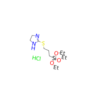 CCO[Si](CCCSC1=NCCN1)(OCC)OCC.Cl